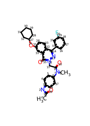 Cc1nc2ccc(N(C)C(=O)Cn3nc(-c4cccc(F)c4)c4ccc(OC5CCCCC5)cc4c3=O)cc2o1